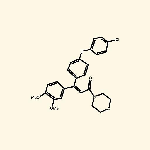 COc1ccc(C(=CC(=O)N2CCOCC2)c2ccc(Oc3ccc(Cl)cc3)cc2)cc1OC